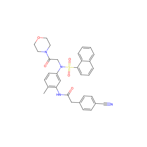 Cc1ccc(N(CC(=O)N2CCOCC2)S(=O)(=O)c2cccc3ccccc23)cc1NC(=O)Cc1ccc(C#N)cc1